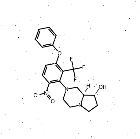 O=[N+]([O-])c1ccc(Oc2ccccc2)c(C(F)(F)F)c1N1CCN2CC[C@@H](O)[C@@H]2C1